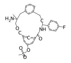 CC1(N)COCc2cc(OS(C)(=O)=O)cc(c2)C(=O)NC(c2ccc(F)cc2)CCc2cccc(c2)C1